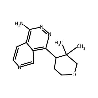 CC1(C)COCCC1c1nnc(N)c2ccncc12